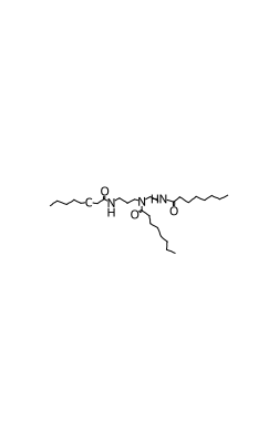 CCCCCCCC(=O)NCCCN(CCNC(=O)CCCCCCC)C(=O)CCCCCCC